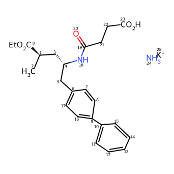 CCOC(=O)[C@H](C)C[C@@H](Cc1ccc(-c2ccccc2)cc1)NC(=O)CCC(=O)O.N.[K+]